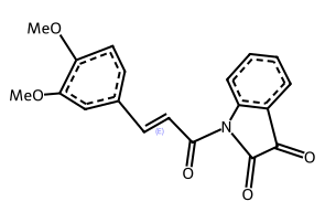 COc1ccc(/C=C/C(=O)N2C(=O)C(=O)c3ccccc32)cc1OC